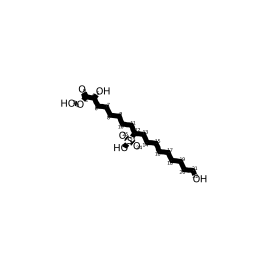 O=C(OO)C(O)CCCCCCC(CCCCCCCCCO)S(=O)(=O)O